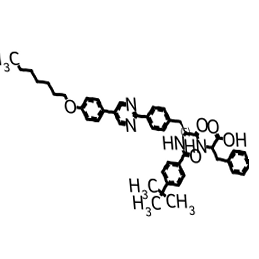 CCCCCCCOc1ccc(-c2cnc(-c3ccc(C[C@H](NC(=O)c4ccc(C(C)(C)C)cc4)C(=O)NC(Cc4ccccc4)C(=O)O)cc3)nc2)cc1